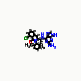 Cc1ccccc1-n1c(C(C)Nc2nc(N)nc3[nH]cnc23)cc2cccc(Cl)c2c1=O